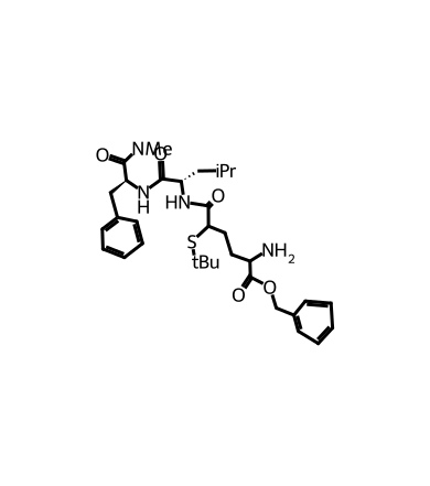 CNC(=O)[C@H](Cc1ccccc1)NC(=O)[C@H](CC(C)C)NC(=O)C(CCC(N)C(=O)OCc1ccccc1)SC(C)(C)C